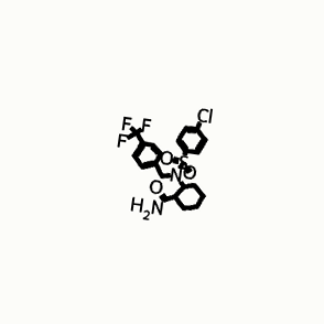 NC(=O)C1CCCCC1N(Cc1ccc(C(F)(F)F)cc1)S(=O)(=O)c1ccc(Cl)cc1